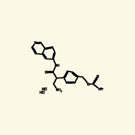 CCCC(=O)OCc1ccc(C(CN)C(=O)Nc2ccc3cnccc3c2)cc1.Cl.Cl